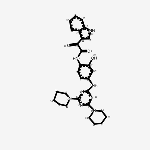 O=C(Nc1ccc(Nc2nc(N3CCCCC3)nc(N3CCCCC3)n2)cc1O)C(=O)c1c[nH]c2ccccc12